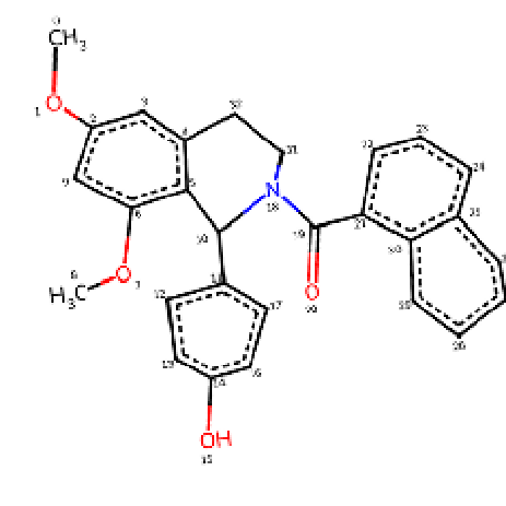 COc1cc2c(c(OC)c1)C(c1ccc(O)cc1)N(C(=O)c1cccc3ccccc13)CC2